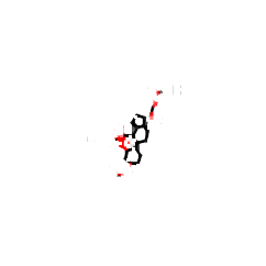 CC(=O)OCC(=O)[C@H]1CC=C2[C@@H]3CCC4CC(OC(C)=O)CC[C@]4(COC(C)=O)[C@H]3CC[C@@]21C